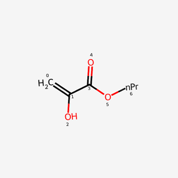 C=C(O)C(=O)OCCC